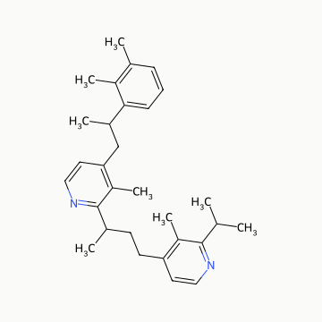 Cc1cccc(C(C)Cc2ccnc(C(C)CCc3ccnc(C(C)C)c3C)c2C)c1C